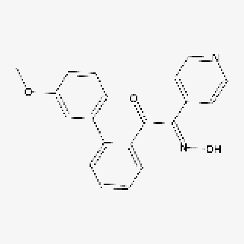 COc1cccc(-c2ccccc2C(=O)C(=NO)c2ccncc2)c1